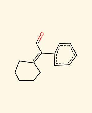 O=CC(=C1CCCCC1)c1ccccc1